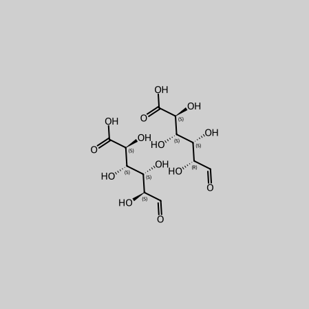 O=C[C@@H](O)[C@@H](O)[C@H](O)[C@H](O)C(=O)O.O=C[C@H](O)[C@@H](O)[C@H](O)[C@H](O)C(=O)O